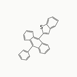 c1ccc(-c2c3ccccc3c(-c3cc4ccccc4s3)c3ccccc23)cc1